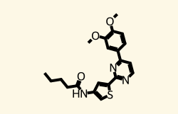 CCCCC(=O)Nc1csc(-c2nccc(-c3ccc(OC)c(OC)c3)n2)c1